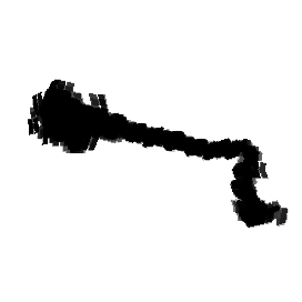 CCC(CO)OC(COC(=O)CCCC(=O)NCCN1CCC(SCCOCCOCCOCCOCCOCCOCCOCCOCCOCCOCCOCCOCCC(=O)NCCOCCOCC(=O)N[C@@H](CC(C)C)C(=O)N[C@H](C(=O)N[C@H](C(=O)N[C@@H](CO)C(=O)N2CCC[C@H]2C(=O)N[C@@H](Cc2c[nH]c3ccccc23)C(=O)N[C@@H](Cc2ccc(O)cc2)C(=O)O)C(C)C)[C@@H](C)O)C1)OC